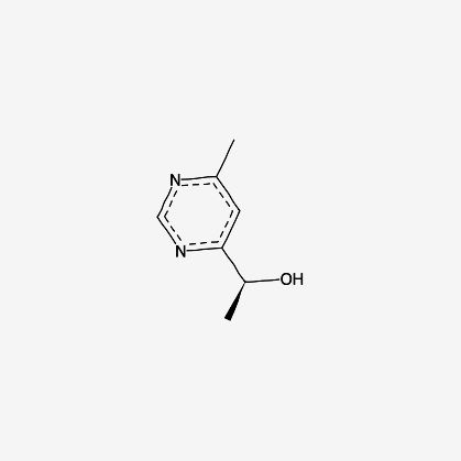 Cc1cc([C@H](C)O)ncn1